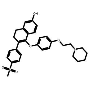 CS(=O)(=O)c1ccc(C2=C(Oc3ccc(OCCN4CCCCC4)cc3)c3ccc(O)cc3CC2)cc1